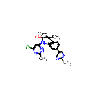 Cc1ncc(-c2ccc3c(c2)N(c2cc(Cl)nc(C)n2)C(O)C3(C)C)cn1